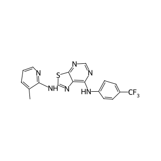 Cc1cccnc1Nc1nc2c(Nc3ccc(C(F)(F)F)cc3)ncnc2s1